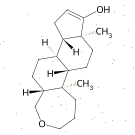 C[C@]12CCCOC[C@@H]1CC[C@@H]1[C@@H]2CC[C@]2(C)C(O)=CC[C@@H]12